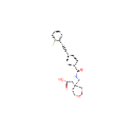 O=C(O)CC1(CNC(=O)c2ccc(C#Cc3ccccc3F)cc2)CCOCC1